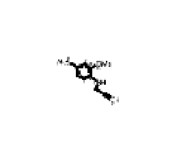 C#CCNc1ccc(SC)cc1OC